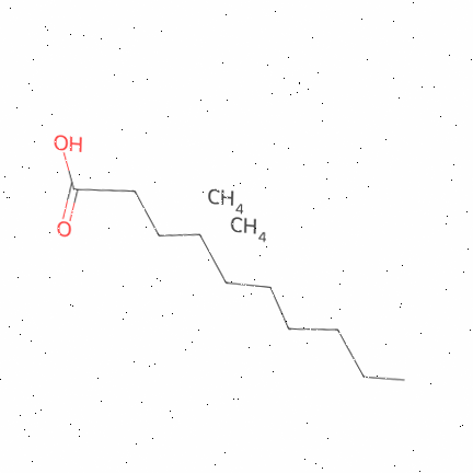 C.C.CCCCCCCCCC(=O)O